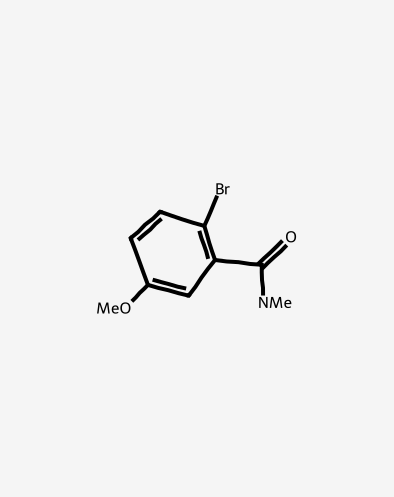 CNC(=O)c1cc(OC)ccc1Br